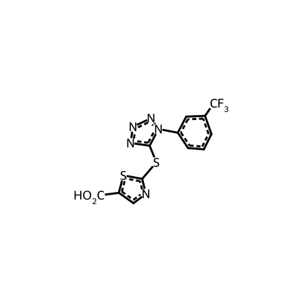 O=C(O)c1cnc(Sc2nnnn2-c2cccc(C(F)(F)F)c2)s1